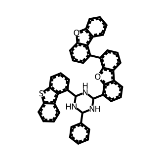 c1ccc(C2NC(c3cccc4c3oc3c(-c5cccc6oc7ccccc7c56)cccc34)NC(c3cccc4sc5ccccc5c34)N2)cc1